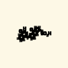 O=C(c1cc(Cc2n[nH]c(=O)c3ccccc23)ccc1F)N1CC[C@H](CS(=O)(=O)O)C1